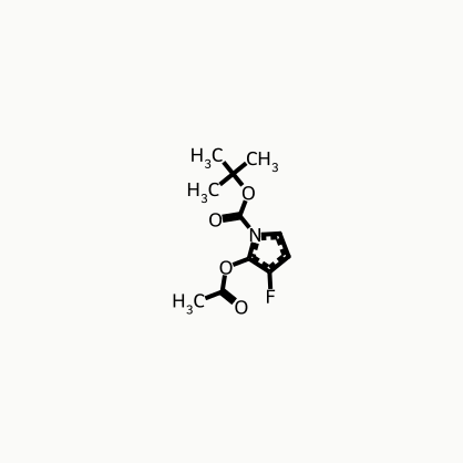 CC(=O)Oc1c(F)ccn1C(=O)OC(C)(C)C